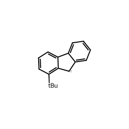 CC(C)(C)c1cccc2c1[C]c1ccccc1-2